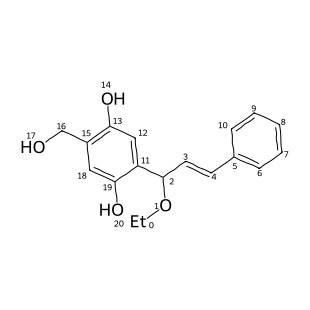 CCOC(C=Cc1ccccc1)c1cc(O)c(CO)cc1O